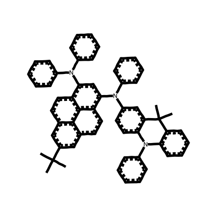 CC(C)(C)c1cc2ccc3c(N(c4ccccc4)c4ccccc4)cc(N(c4ccccc4)c4ccc5c(c4)C(C)(C)c4ccccc4N5c4ccccc4)c4ccc(c1)c2c34